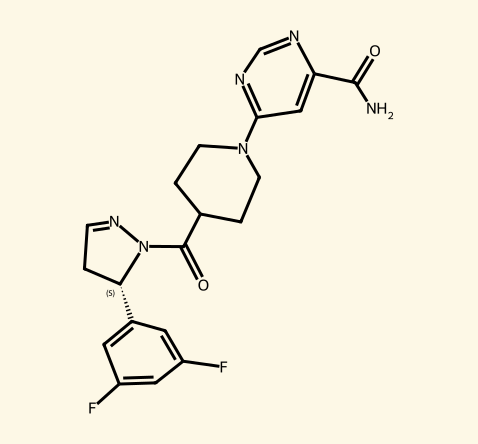 NC(=O)c1cc(N2CCC(C(=O)N3N=CC[C@H]3c3cc(F)cc(F)c3)CC2)ncn1